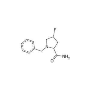 NC(=O)C1CC(F)CN1Cc1ccccc1